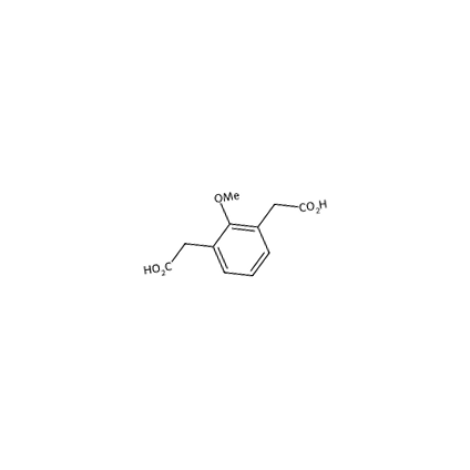 COc1c(CC(=O)O)cccc1CC(=O)O